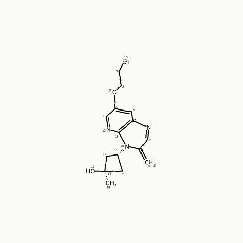 C=C1C=Nc2cc(OCCC(C)C)cnc2N1[C@H]1C[C@](C)(O)C1